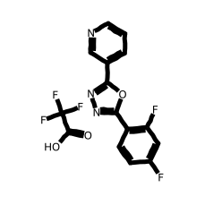 Fc1ccc(-c2nnc(-c3cccnc3)o2)c(F)c1.O=C(O)C(F)(F)F